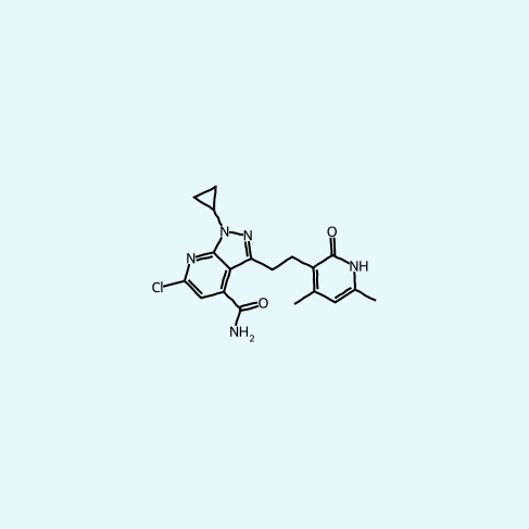 Cc1cc(C)c(CCc2nn(C3CC3)c3nc(Cl)cc(C(N)=O)c23)c(=O)[nH]1